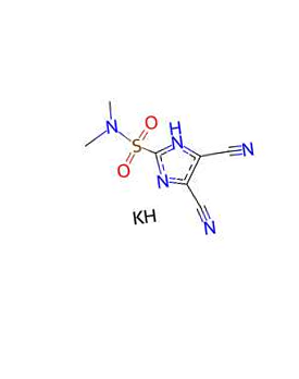 CN(C)S(=O)(=O)c1nc(C#N)c(C#N)[nH]1.[KH]